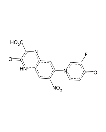 O=C(O)c1nc2cc(-n3ccc(=O)c(F)c3)c([N+](=O)[O-])cc2[nH]c1=O